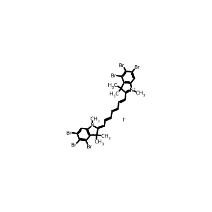 CN1C(=CC=CC=CC=CC2=[N+](C)c3cc(Br)c(Br)c(Br)c3C2(C)C)C(C)(C)c2c1cc(Br)c(Br)c2Br.[I-]